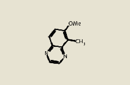 COc1ccc2nccnc2c1C